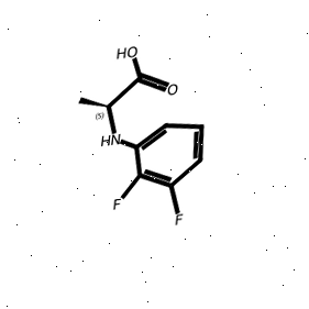 C[C@H](Nc1cccc(F)c1F)C(=O)O